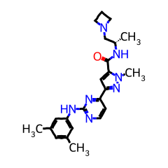 Cc1cc(C)cc(Nc2nccc(-c3cc(C(=O)N[C@@H](C)CN4CCC4)n(C)n3)n2)c1